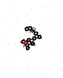 Cc1c(-c2ccccc2)nc2ccccc2c1-c1ccccc1-c1c(-c2ccc(-c3ccccc3-c3ccc(-c4nc5c(ccc6ccccc65)o4)cc3)cc2)ccc2c1=C=C=CC=2